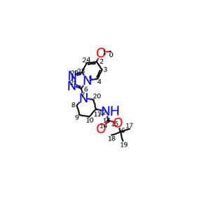 COc1ccn2c(N3CCCC(NC(=O)OC(C)(C)C)C3)nnc2c1